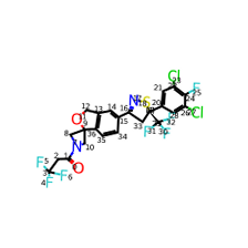 O=C(CC(F)(F)F)N1CC2(C1)OCc1cc(C3=NS[C@@](c4cc(Cl)c(F)c(Cl)c4)(C(F)(F)F)C3)ccc12